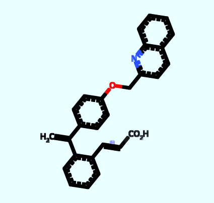 C=C(c1ccc(OCc2ccc3ccccc3n2)cc1)c1ccccc1/C=C/C(=O)O